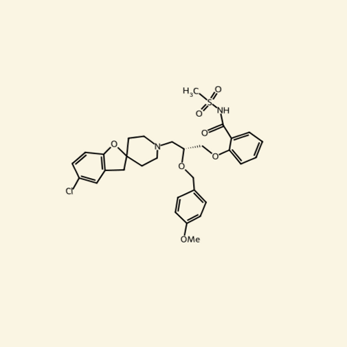 COc1ccc(CO[C@@H](COc2ccccc2C(=O)NS(C)(=O)=O)CN2CCC3(CC2)Cc2cc(Cl)ccc2O3)cc1